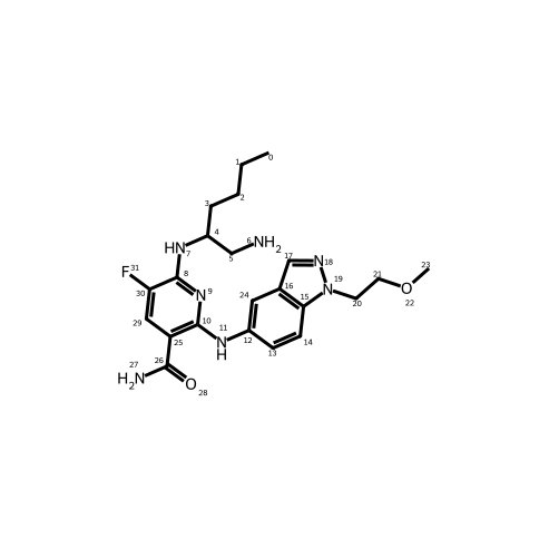 CCCCC(CN)Nc1nc(Nc2ccc3c(cnn3CCOC)c2)c(C(N)=O)cc1F